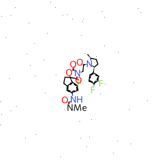 CNC(=O)Nc1cc(F)c2c(c1)CCC21OC(=O)N(CC(=O)N2[C@@H](C)CC[C@H]2c2ccc(F)c(F)c2)C1=O